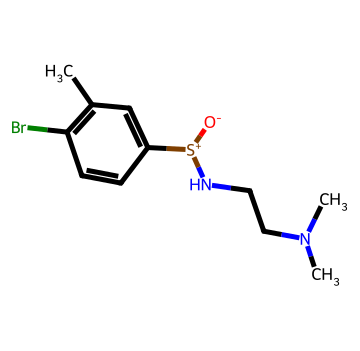 Cc1cc([S+]([O-])NCCN(C)C)ccc1Br